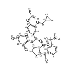 CN(C)C(=O)c1cccc(C(=O)N2CCSC2C(=O)OC(Cc2c(Cl)c[n+]([O-])cc2Cl)c2ccc(OC(F)F)c(OCC3CC3)c2)c1